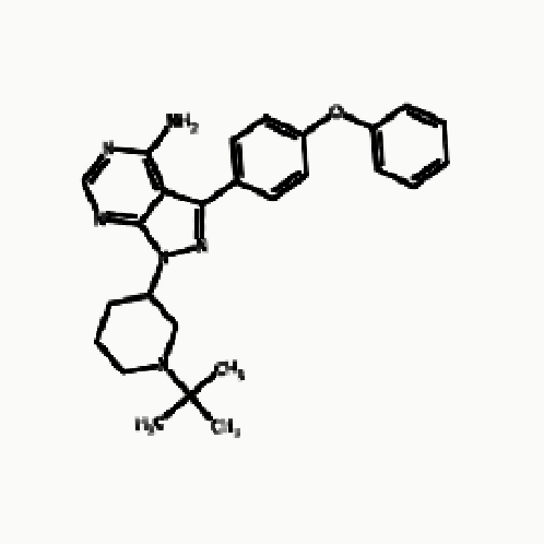 CC(C)(C)N1CCCC(n2nc(-c3ccc(Oc4ccccc4)cc3)c3c(N)ncnc32)C1